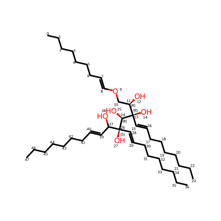 CCCCCCCC=COC[C@@H](O)[C@](O)(C=CCCCCCCC)[C@H](O)[C@](O)(C=CCCCCCCC)C(O)C=CCCCCCCC